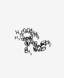 CCN[C@@H]1CN(CCCOC)S(=O)(=O)c2sc(S(=O)(=O)NC(=O)C(C)CC(=O)C(C)CC(=O)C(C)CC(=O)C(C)CC(=O)C(C)CC(=O)CCC(=O)OC(CNC(C)(C)C)COc3nsnc3N3CCOCC3)cc21